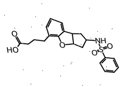 O=C(O)CCCc1cccc2c1OC1CC(NS(=O)(=O)c3ccccc3)CC21